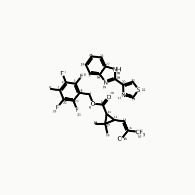 Cc1c(F)c(F)c(COC(=O)C2C(/C=C(\Cl)C(F)(F)F)C2(C)C)c(F)c1F.c1ccc2[nH]c(-c3cscn3)nc2c1